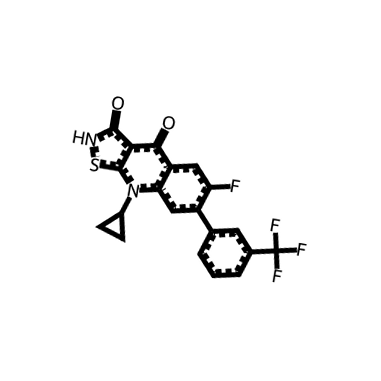 O=c1[nH]sc2c1c(=O)c1cc(F)c(-c3cccc(C(F)(F)F)c3)cc1n2C1CC1